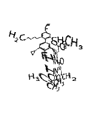 C=CCCCCc1cc(F)cc(C)c1-c1cc(C2CC2)c(F)c([C@H](CC(=O)OCC)NC(=O)[C@H](CC=C)NC(=O)OC(C)(C)C)c1